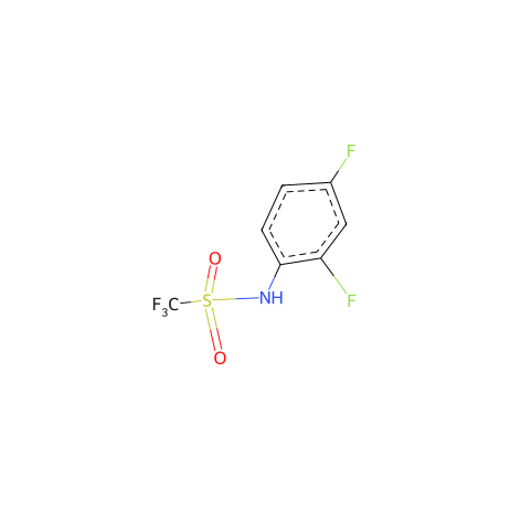 O=S(=O)(Nc1ccc(F)cc1F)C(F)(F)F